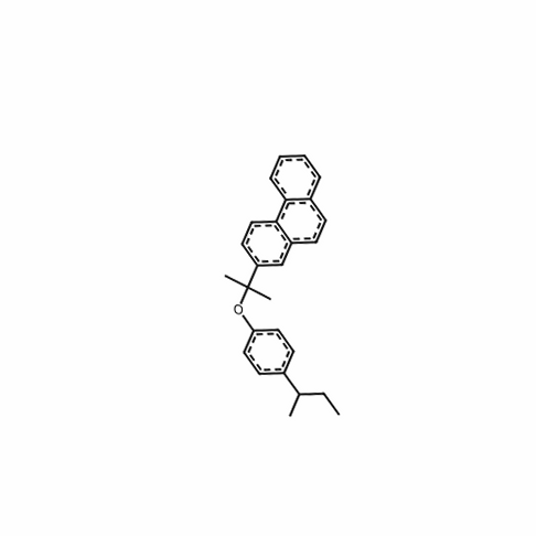 CCC(C)c1ccc(OC(C)(C)c2ccc3c(ccc4ccccc43)c2)cc1